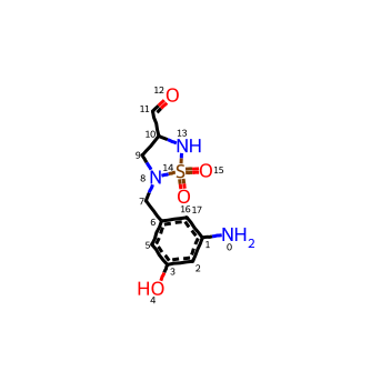 Nc1cc(O)cc(CN2CC(C=O)NS2(=O)=O)c1